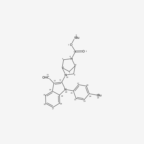 CC(C)(C)OC(=O)N1CC2CC1CN2c1c(C=O)c2ccccc2n1-c1ccc(C(C)(C)C)cc1